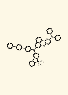 CC1(C)c2ccccc2-c2cc(N(c3ccc(-c4ccc(-c5ccccc5)cc4)cc3)c3cc4c5c(cccc5c3)-c3cc(N(c5ccccc5)c5ccccc5)ccc3O4)ccc21